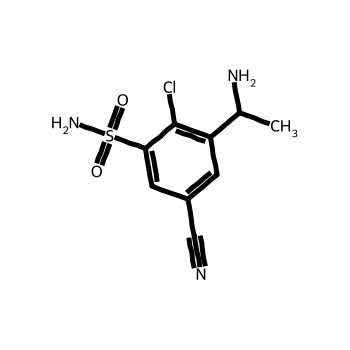 CC(N)c1cc(C#N)cc(S(N)(=O)=O)c1Cl